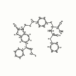 CO/N=C(\c1ccccc1)c1ccc2c(c1)sc(=O)n2CCOc1ccc(CC(NC(=O)Cc2ccccc2)C(=O)O)cc1